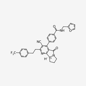 N#Cc1c(CCc2ccc(C(F)(F)F)cc2)nc2c(c1-c1ccc(C(=O)NCc3ccco3)cc1)C(=O)N1CCC[C@@H]21